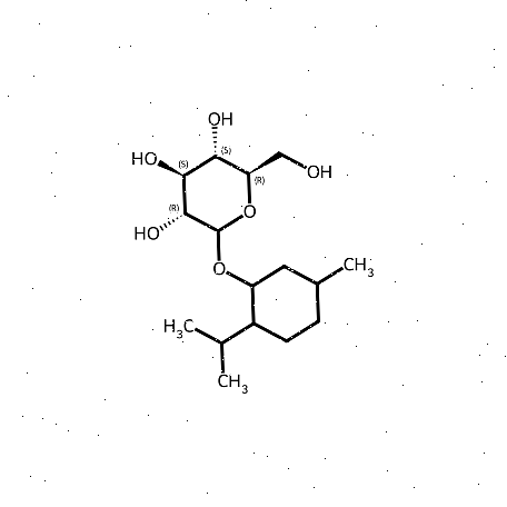 CC1CCC(C(C)C)C(OC2O[C@H](CO)[C@@H](O)[C@H](O)[C@H]2O)C1